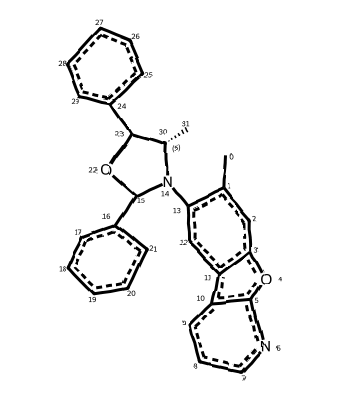 Cc1cc2oc3ncccc3c2cc1N1C(c2ccccc2)OC(c2ccccc2)[C@@H]1C